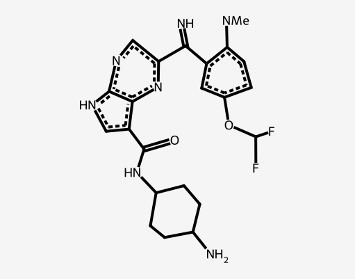 CNc1ccc(OC(F)F)cc1C(=N)c1cnc2[nH]cc(C(=O)NC3CCC(N)CC3)c2n1